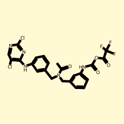 CC(=O)N(Cc1cccc(NC(=O)OC(=O)C(F)(F)F)c1)Cc1cccc(Nc2nc(Cl)ncc2Cl)c1